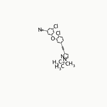 CC(C)(C)n1ccc(C#Cc2ccc(Cl)c(Oc3cc(Cl)cc(C#N)c3)c2)n1